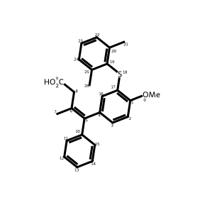 COc1ccc(/C(=C(/C)CC(=O)O)c2ccccc2)cc1Sc1c(C)cccc1C